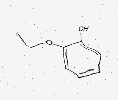 Oc1ccccc1OCI